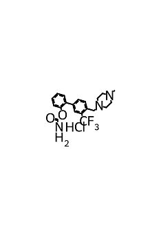 CN1CCN(Cc2ccc(-c3ccccc3OC(N)=O)cc2C(F)(F)F)CC1.Cl